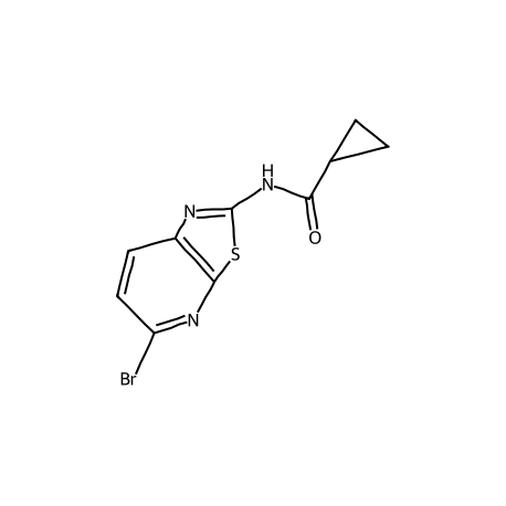 O=C(Nc1nc2ccc(Br)nc2s1)C1CC1